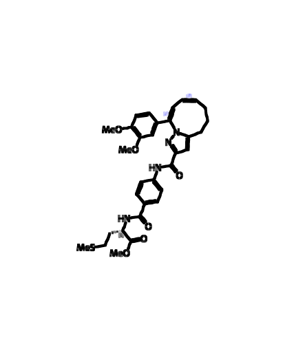 COC(=O)[C@H](CCSC)NC(=O)c1ccc(NC(=O)c2cc3n(n2)/C(c2ccc(OC)c(OC)c2)=C\C=C/CCC3)cc1